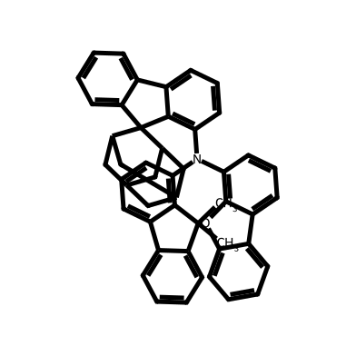 CC1(C)c2ccccc2-c2cccc(N(c3cccc4c3C3(c5ccccc5-4)C4CC5CC(C4)CC3C5)c3cccc4c3oc3ccccc34)c21